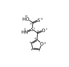 N=S(C(=O)c1ccco1)C(O)=S